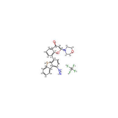 F[B-](F)(F)F.N#[N+]c1ccc(-c2cccc3c(=O)cc(N4CCOCC4)oc23)c2sc3ccccc3c12